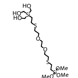 CO[Si](CCSCCOCCOCCSCC[Si](CO)(CO)CO)(OC)OC